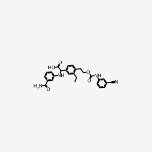 CCc1cc(C(Nc2cccc(C(N)=O)c2)C(=O)O)ccc1CCOC(=O)Nc1cccc(C#N)c1